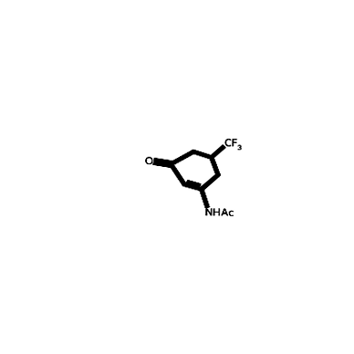 CC(=O)NC1=CC(=O)CC(C(F)(F)F)C1